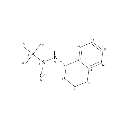 CC(C)(C)[S@@+]([O-])N[C@H]1CCCc2ccccc21